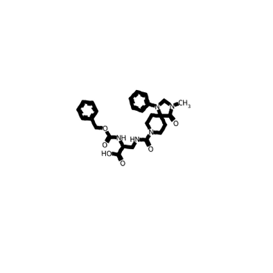 CN1CN(c2ccccc2)C2(CCN(C(=O)NCC(NC(=O)OCc3ccccc3)C(=O)O)CC2)C1=O